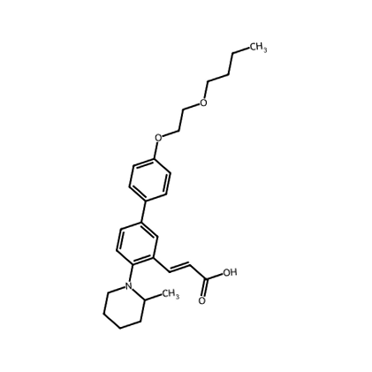 CCCCOCCOc1ccc(-c2ccc(N3CCCCC3C)c(C=CC(=O)O)c2)cc1